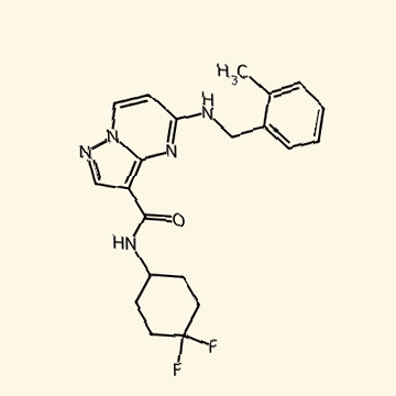 Cc1ccccc1CNc1ccn2ncc(C(=O)NC3CCC(F)(F)CC3)c2n1